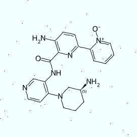 Nc1ccc(-c2cccc[n+]2[O-])nc1C(=O)Nc1cnccc1N1CCC[C@H](N)C1